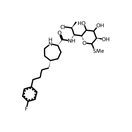 CSC1O[C@H]([C@H](NC(=O)[C@@H]2CC[C@H](CCCCc3ccc(F)cc3)CCN2)[C@H](C)Cl)C(O)C(O)[C@H]1O